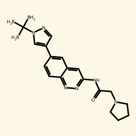 BC(B)(B)n1cc(-c2ccc3nnc(NC(=O)CN4CCCC4)cc3c2)cn1